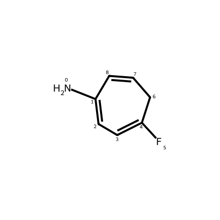 NC1=CC=C(F)CC=C1